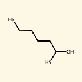 OC(S)CCCCS